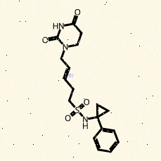 O=C1CCN(C/C=C/CCS(=O)(=O)NC2(c3ccccc3)CC2)C(=O)N1